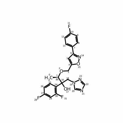 C[C@@H](OCc1cc(-c2ccc(F)cc2)no1)C(O)(Cn1cncn1)c1ccc(F)cc1F